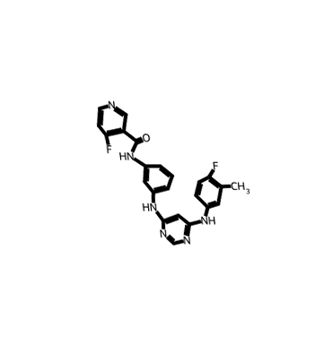 Cc1cc(Nc2cc(Nc3cccc(NC(=O)c4cnccc4F)c3)ncn2)ccc1F